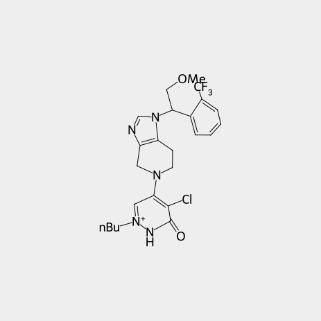 CCCC[n+]1cc(N2CCc3c(ncn3C(COC)c3ccccc3C(F)(F)F)C2)c(Cl)c(=O)[nH]1